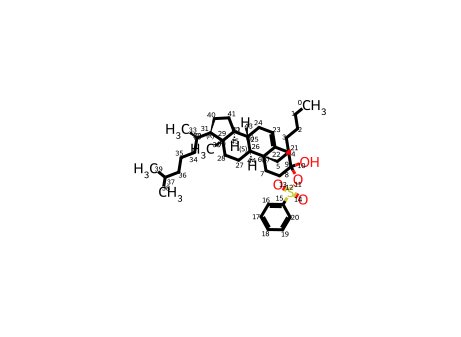 CCCCCC[C@]12CCC(O)(OS(=O)(=O)c3ccccc3)CC1=CC[C@@H]1[C@@H]2CC[C@]2(C)[C@@H]([C@H](C)CCCC(C)C)CC[C@@H]12